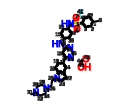 Cc1ccc(S(=O)(=O)Nc2ccc(Nc3cc(-c4ccc5c(ccn5CCN5CCN(C)CC5)c4)ncn3)cc2)c(F)c1.O=CO